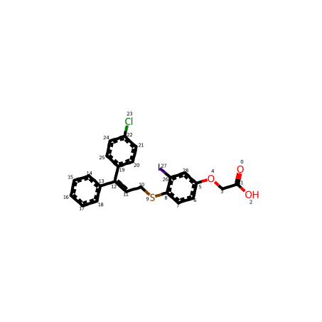 O=C(O)COc1ccc(SCC=C(c2ccccc2)c2ccc(Cl)cc2)c(I)c1